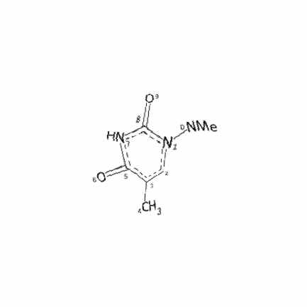 CNn1cc(C)c(=O)[nH]c1=O